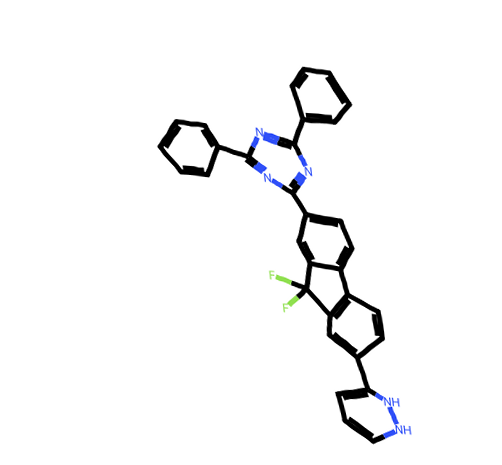 FC1(F)c2cc(C3=CC=CNN3)ccc2-c2ccc(-c3nc(-c4ccccc4)nc(-c4ccccc4)n3)cc21